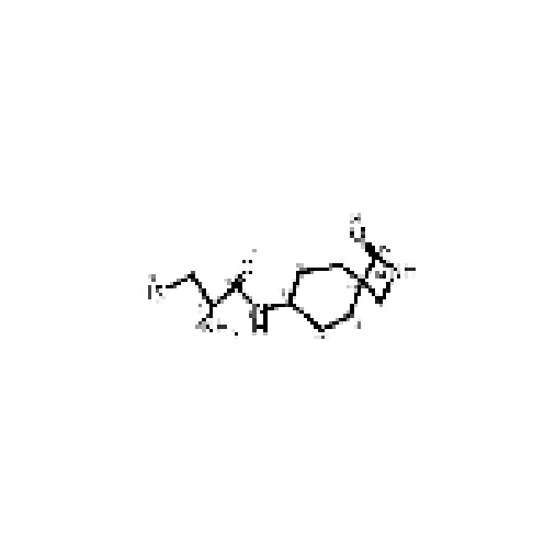 N[C@@H](CS)C(=O)NC1CCC2(CC1)CNC2=O